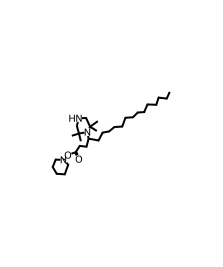 CCCCCCCCCCCCCCC(CCC(=O)ON1CCCCC1)N1C(C)(C)CNCC1(C)C